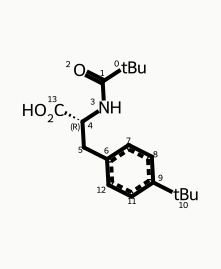 CC(C)(C)C(=O)N[C@H](Cc1ccc(C(C)(C)C)cc1)C(=O)O